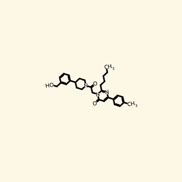 CCCCCc1nc(-c2ccc(C)cc2)cc(=O)n1CC(=O)N1CCC(c2cccc(CO)c2)CC1